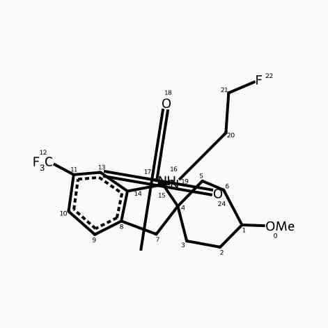 COC1CCC2(CC1)Cc1ccc(C(F)(F)F)cc1C21NC(=O)N(CCF)C1=O